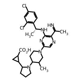 CC(=N)c1ncc(N2CCC(N3CCCC3C3CC3C(=O)O)C(C)C2)nc1N[C@H](C)c1ccc(Cl)cc1Cl